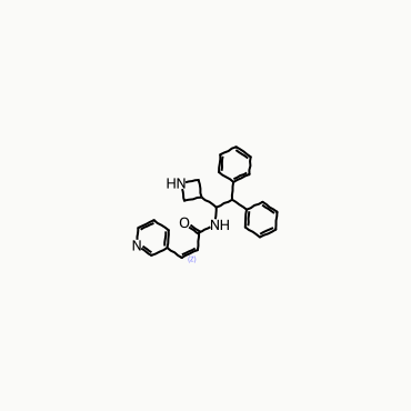 O=C(/C=C\c1cccnc1)NC(C1CNC1)C(c1ccccc1)c1ccccc1